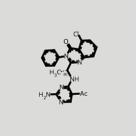 CC(=O)c1cnc(N)nc1N[C@H](C)c1nc2cccc(Cl)c2c(=O)n1-c1ccccc1